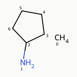 C.NC1CCCC1